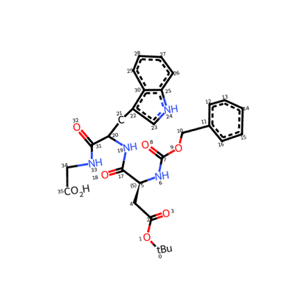 CC(C)(C)OC(=O)C[C@H](NC(=O)OCc1ccccc1)C(=O)NC(Cc1c[nH]c2ccccc12)C(=O)NCC(=O)O